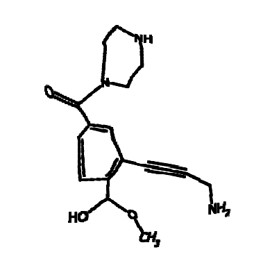 COC(O)c1ccc(C(=O)N2CCNCC2)cc1C#CCN